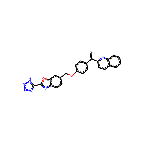 C=C(c1ccc(OCc2ccc3nc(-c4nnn[nH]4)oc3c2)cc1)c1ccc2ccccc2n1